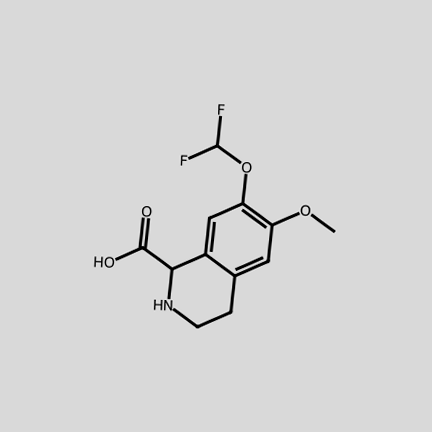 COc1cc2c(cc1OC(F)F)C(C(=O)O)NCC2